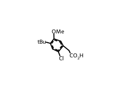 COc1cc(CC(=O)O)c(Cl)cc1C(C)(C)C